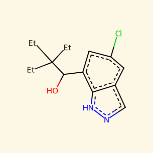 CCC(CC)(CC)C(O)c1cc(Cl)cc2cn[nH]c12